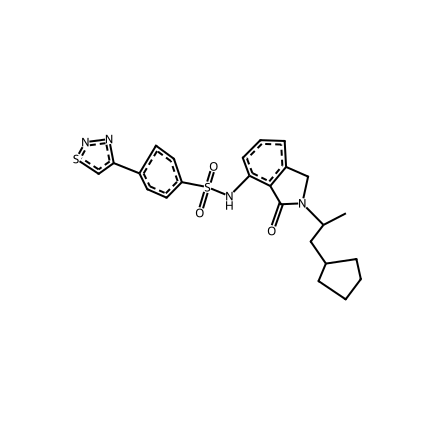 CC(CC1CCCC1)N1Cc2cccc(NS(=O)(=O)c3ccc(-c4csnn4)cc3)c2C1=O